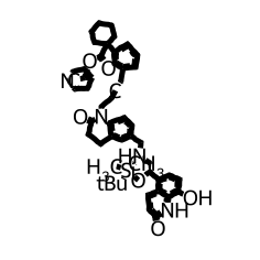 CC(C)(C)[Si](C)(C)O[C@@H](CNCc1ccc2c(c1)CCC(=O)N2CCCCc1cccc(C2(C(=O)OC3CN4CCC3CC4)CCCCC2)c1)c1ccc(O)c2[nH]c(=O)ccc12